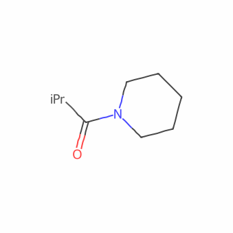 CC(C)C(=O)N1CCCCC1